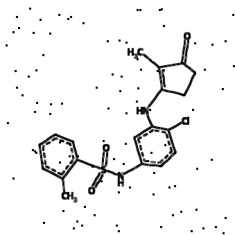 CC1=C(Nc2cc(NS(=O)(=O)c3ccccc3C)ccc2Cl)CCC1=O